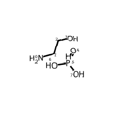 NCCO.O=[PH](O)O